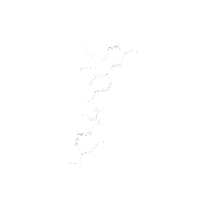 COc1ccc(S(=O)(=O)NCc2ccc(-c3cc(F)ccc3OC)c(OC)c2)cc1